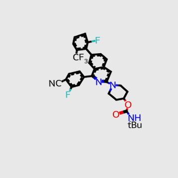 CC(C)(C)NC(=O)OC1CCN(c2cc3ccc(-c4c(F)cccc4C(F)(F)F)cc3c(-c3ccc(C#N)c(F)c3)n2)CC1